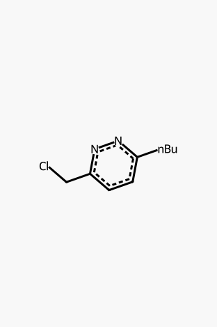 CCCCc1ccc(CCl)nn1